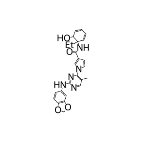 CCC1(NC(=O)c2ccn(-c3nc(Nc4ccc5c(c4)OCO5)ncc3C)c2)C=CC=CC1O